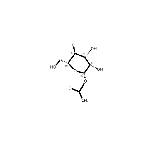 CC(O)O[C@@H]1O[C@H](CO)[C@@H](O)[C@H](O)[C@@H]1O